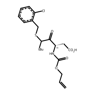 C=CCOC(=O)N[C@@H](CC(=O)O)C(=O)C(SCc1ccccc1Cl)C(C)(C)C